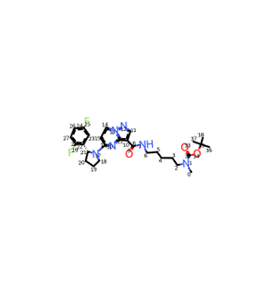 CN(CCCCCNC(=O)c1cnn2ccc(N3CCC[C@@H]3c3cc(F)ccc3F)nc12)C(=O)OC(C)(C)C